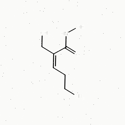 CCCC=C(CC)C(=O)NO